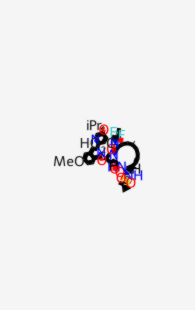 CC[C@@H]1C[C@H](C)CCC=C[C@@H]2C[C@@]2(C(=O)NS(=O)(=O)C2(C)CC2)NC(=O)[C@@H]2C[C@@H](Oc3nc(-c4ccc(OC(C)C)cn4)cc4cc(OC)ccc34)CN2C(=O)[C@H]1N(C(=O)O)C(C)(C)C(C)(F)F